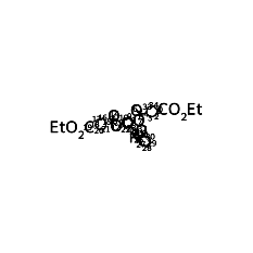 CCOC(=O)C1CCC(C(=O)Oc2ccc(OC(=O)[C@H]3CC[C@H](C(=O)OCC)CC3)cc2-c2nc3ccccc3o2)CC1